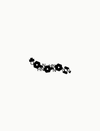 CN1CCN(c2ccc3[nH]c(-c4ccc5[nH]c(-c6ccc(OC(C)(C)C)cc6)nc5c4)nc3c2)CC1